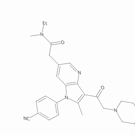 CCN(C)C(=O)Cc1cnc2c(C(=O)CN3CCCCC3)c(C)n(-c3ccc(C#N)cc3)c2c1